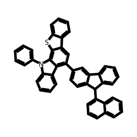 c1ccc(-n2c3ccccc3c3c(-c4ccc5c(c4)-c4ccccc4C5c4cccc5ccccc45)cc4c5ccccc5sc4c32)cc1